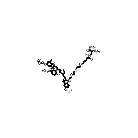 CNC(=O)C(CNC(=O)CCCCOCCOCCOCCON1/C(=C/C=C2\CCCC(/C=C/C3=[N+](C)c4c(C)cc(SOO[O-])cc4C3(C)C)=C2Oc2ccc(S(=O)(=O)O)cc2)C(C)(C)c2cc(S(=O)(=O)O)cc(C)c21)NC